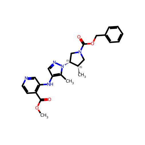 COC(=O)c1ccncc1Nc1cnn([C@@H]2CN(C(=O)OCc3ccccc3)C[C@@H]2C)c1C